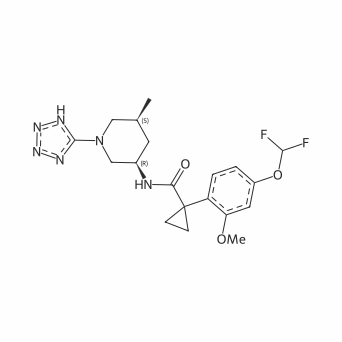 COc1cc(OC(F)F)ccc1C1(C(=O)N[C@@H]2C[C@H](C)CN(c3nnn[nH]3)C2)CC1